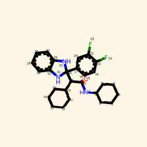 O=C(NC1CCCCC1)C(C1CCCCC1)C1(c2ccc(F)c(F)c2)Nc2ccccc2N1